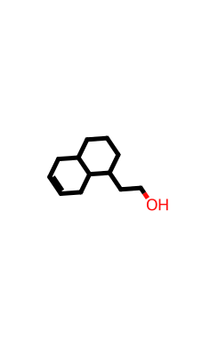 OCCC1CCCC2CC=CCC21